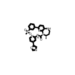 C[C@@H]1CCNc2ccc(-c3cccc(S(C)(=O)=O)c3)nc2N1C(=O)Nc1cc(-c2cnco2)ccn1